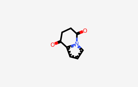 O=C1CCC(=O)n2cccc21